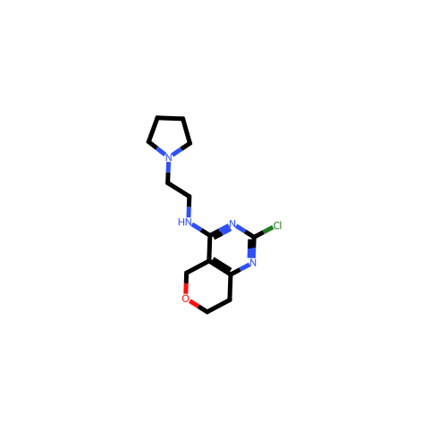 Clc1nc2c(c(NCCN3CCCC3)n1)COCC2